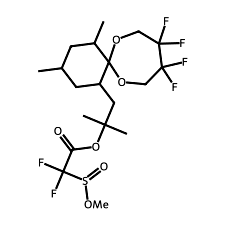 COS(=O)C(F)(F)C(=O)OC(C)(C)CC1CC(C)CC(C)C12OCC(F)(F)C(F)(F)CO2